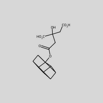 O=C(O)CC(O)(CC(=O)OC12C3C4C5C3C1C5C42)C(=O)O